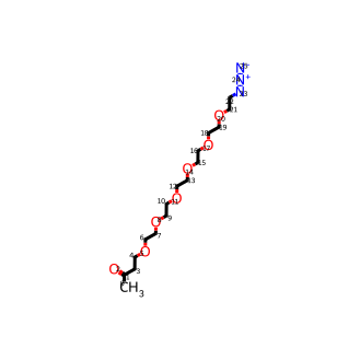 CC(=O)CCOCCOCCOCCOCCOCCOCCN=[N+]=[N-]